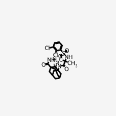 CC(C)(NS(=O)(=O)c1cccc(Cl)c1Cl)C(=O)NC12CC3CC(C1)CC(C(N)=O)(C3)C2